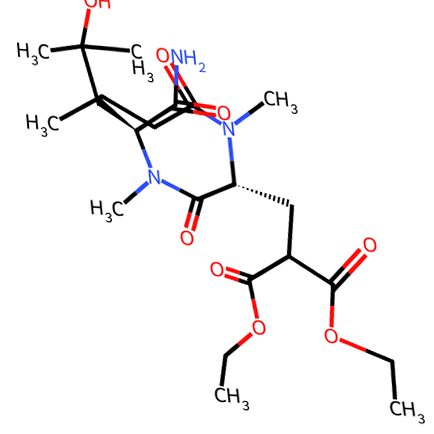 CCCC(=O)N(C)[C@H](CC(C(=O)OCC)C(=O)OCC)C(=O)N(C)[C@@H](CC(C)(C)O)C(N)=O